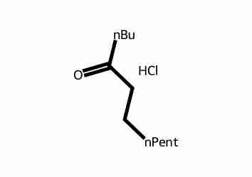 CCCCCCCC(=O)CCCC.Cl